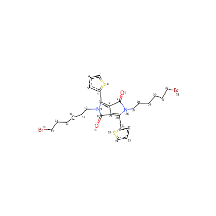 O=C1C2=C(c3cccs3)N(CCCCCCBr)C(=O)C2=C(c2cccs2)N1CCCCCCBr